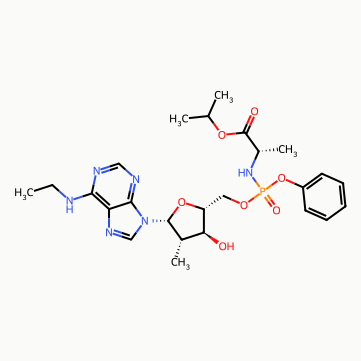 CCNc1ncnc2c1ncn2[C@@H]1O[C@H](COP(=O)(N[C@@H](C)C(=O)OC(C)C)Oc2ccccc2)[C@@H](O)[C@@H]1C